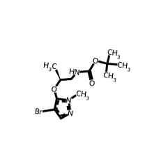 C[C@@H](CNC(=O)OC(C)(C)C)Oc1c(Br)cnn1C